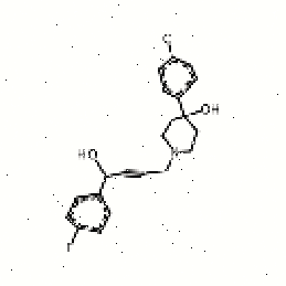 OC(C#CCN1CCC(O)(c2ccc(Cl)cc2)CC1)c1ccc(F)cc1